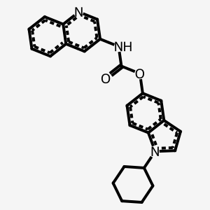 O=C(Nc1cnc2ccccc2c1)Oc1ccc2c(ccn2C2CCCCC2)c1